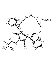 CNC[C@@H]1CCn2cc(c3ccccc32)C2=C(C(=O)N(COP(=O)(O)O)C2=O)c2cn(c3ccccc23)CCO1